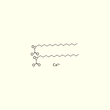 CCCCCCCCCCCCCCCC1OC1C(=O)[O-].CCCCCCCCCCCCCCCC1OC1C(=O)[O-].[Ca+2]